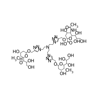 CC(=O)N[C@H]1C(C(O)C(O)CO)O[C@@](OCc2cn(CCN(CCn3cc(CO[C@@H]4C[C@@H](O)[C@@H](C)C(C(O)C(O)CO)O4)nn3)CCn3cc(CO[C@@H]4C[C@@H](O)[C@@H](C)C(C(O)C(O)CO)O4)nn3)nn2)(C(=O)O)C[C@H]1O